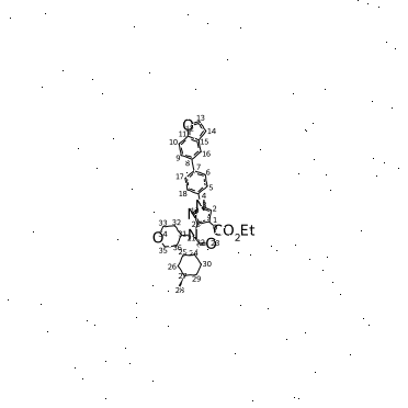 CCOC(=O)c1cn(-c2ccc(-c3ccc4occc4c3)cc2)nc1N(C(=O)[C@H]1CC[C@H](C)CC1)C1CCOCC1